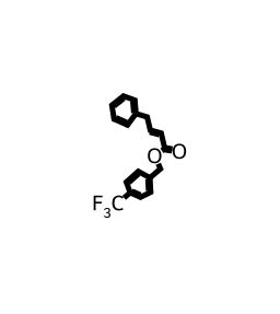 O=C(C=CCc1ccccc1)OCc1ccc(C(F)(F)F)cc1